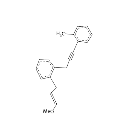 COC=CCc1ccccc1CC#Cc1ccccc1C